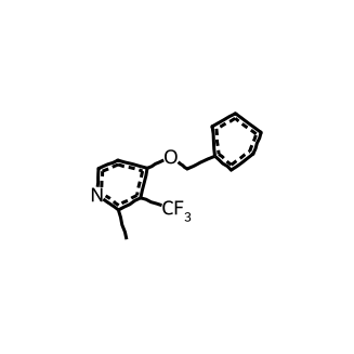 Cc1nccc(OCc2ccccc2)c1C(F)(F)F